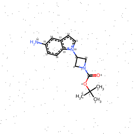 CC(C)(C)OC(=O)N1CC(n2ccc3cc(N)ccc32)C1